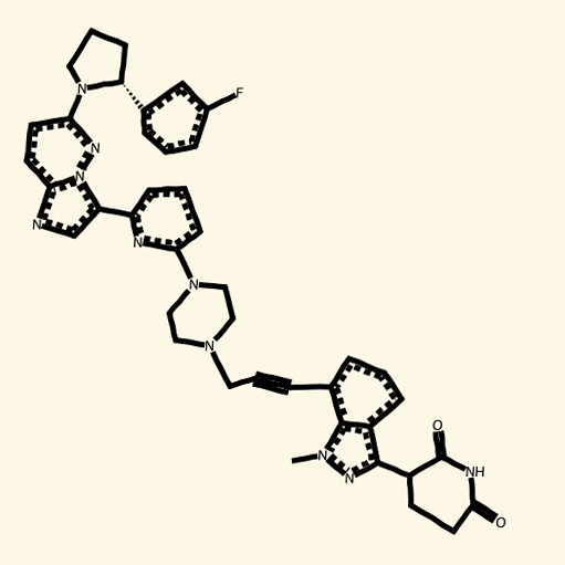 Cn1nc(C2CCC(=O)NC2=O)c2cccc(C#CCN3CCN(c4cccc(-c5cnc6ccc(N7CCC[C@@H]7c7cccc(F)c7)nn56)n4)CC3)c21